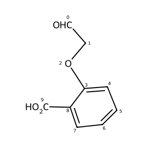 O=CCOc1ccccc1C(=O)O